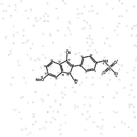 CCS(=O)(=O)Nc1ccc(-c2c(C#N)c3ccc(OC)cc3n2C(C)C)cc1